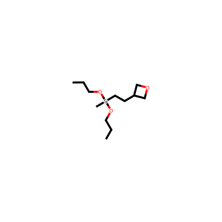 CCCO[Si](C)(CCC1COC1)OCCC